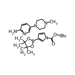 CC(C)(C)OC(=O)n1ccc(B2OC(C)(C)C(C)(C)O2)c1.CN1CCN(c2ccc(N)nc2)CC1